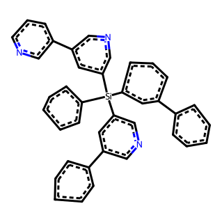 c1ccc(-c2cccc([Si](c3ccccc3)(c3cncc(-c4ccccc4)c3)c3cncc(-c4cccnc4)c3)c2)cc1